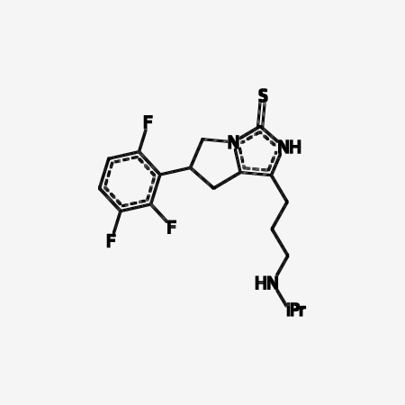 CC(C)NCCCc1[nH]c(=S)n2c1CC(c1c(F)ccc(F)c1F)C2